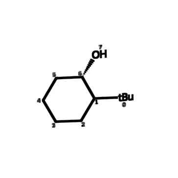 CC(C)(C)C1CCCC[C@@H]1O